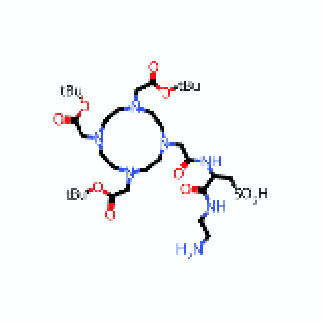 CC(C)(C)OC(=O)CN1CCN(CC(=O)NC(CS(=O)(=O)O)C(=O)NCCN)CCN(CC(=O)OC(C)(C)C)CCN(CC(=O)OC(C)(C)C)CC1